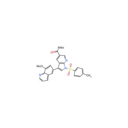 CNC(=O)c1cnc2c(c1)c(-c1cc(OC)c3ncccc3c1)cn2S(=O)(=O)c1ccc(C)cc1